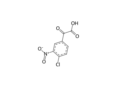 O=C(O)C(=O)c1ccc(Cl)c([N+](=O)[O-])c1